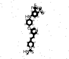 CNC(=S)N1CCC(CCc2cncc(O[C@H]3CC[C@H](Nc4ccc([N+](=O)[O-])c(C(F)(F)F)c4)CC3)c2)CC1